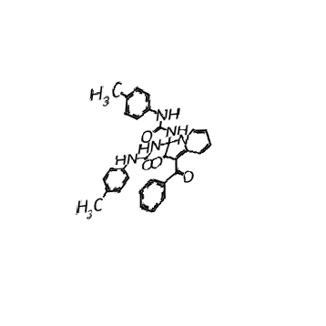 Cc1ccc(NC(=O)NC2(NC(=O)Nc3ccc(C)cc3)C(=O)C(C(=O)c3ccccc3)=C3C=CC=CN32)cc1